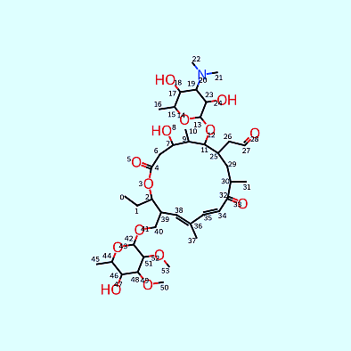 CCC1OC(=O)CC(O)C(C)C(OC2OC(C)C(O)C(N(C)C)C2O)C(CC=O)CC(C)C(=O)/C=C/C(C)=C/C1COC1OC(C)C(O)C(OC)C1OC